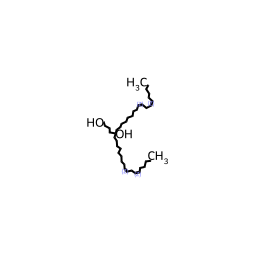 CCCCC/C=C\C/C=C\CCCCCCCCC(O)(CCCCO)CCCCCCCC/C=C\C/C=C\CCCCC